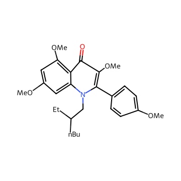 CCCCC(CC)Cn1c(-c2ccc(OC)cc2)c(OC)c(=O)c2c(OC)cc(OC)cc21